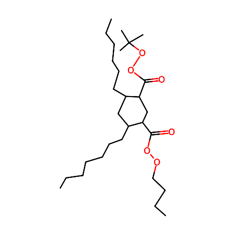 CCCCCCCC1CC(CCCCCC)C(C(=O)OOC(C)(C)C)CC1C(=O)OOCCCC